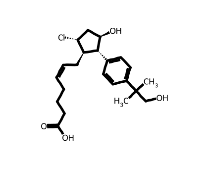 CC(C)(CO)c1ccc([C@@H]2[C@@H](C/C=C\CCCC(=O)O)[C@H](Cl)C[C@H]2O)cc1